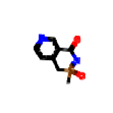 CS1(=O)=NC(=O)c2cnccc2C1